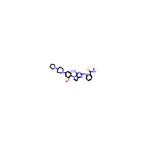 CNC(=O)c1ccccc1Nc1nc(N)c2c(ccn2-c2ccc(N3CCC(N4CCCC4)CC3)cc2OC)n1